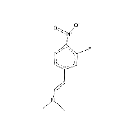 CN(C)/C=C/c1ccc([N+](=O)[O-])c(F)c1